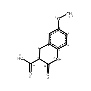 COc1ccc2c(c1)CC(C(=O)O)C(=O)N2